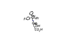 CC(C)c1nn(-c2ccccc2)c(-c2ccc(F)cc2)c1/C=C/O[PH](=O)CC(O)CC(=O)O